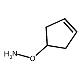 NOC1CC=CC1